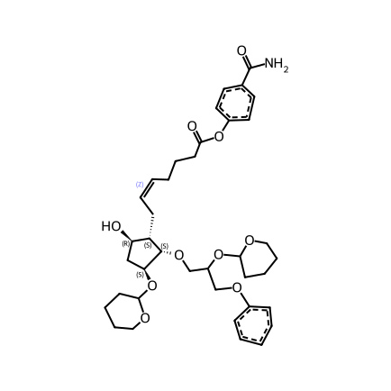 NC(=O)c1ccc(OC(=O)CCC/C=C\C[C@@H]2[C@H](OCC(COc3ccccc3)OC3CCCCO3)[C@@H](OC3CCCCO3)C[C@H]2O)cc1